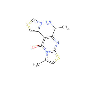 Cc1csc2nc(C(C)N)c(-c3cscn3)c(=O)n12